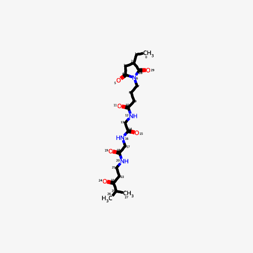 CCC1CC(=O)N(CCCC(=O)NCC(=O)NCC(=O)NCCC(=O)C(C)C)C1=O